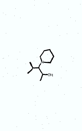 CC(C)C(C(C)O)N1CCCCC1